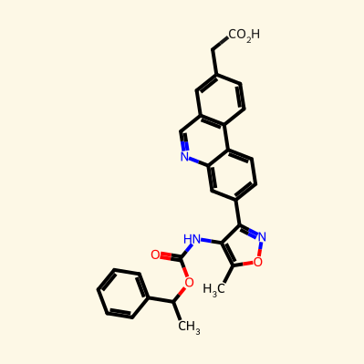 Cc1onc(-c2ccc3c(c2)ncc2cc(CC(=O)O)ccc23)c1NC(=O)OC(C)c1ccccc1